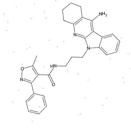 Cc1onc(-c2ccccc2)c1C(=O)NCCCn1c2ccccc2c2c(N)c3c(nc21)CCCC3